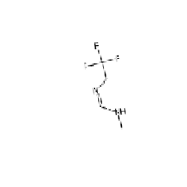 CN/C=N\CC(F)(F)F